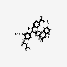 COc1cc(C(Nc2ccc(C(=N)N)cc2)c2nn(-c3ccccc3NC(=O)C(F)(F)F)c(=O)[nH]2)ccc1OC(C)CN(C)C